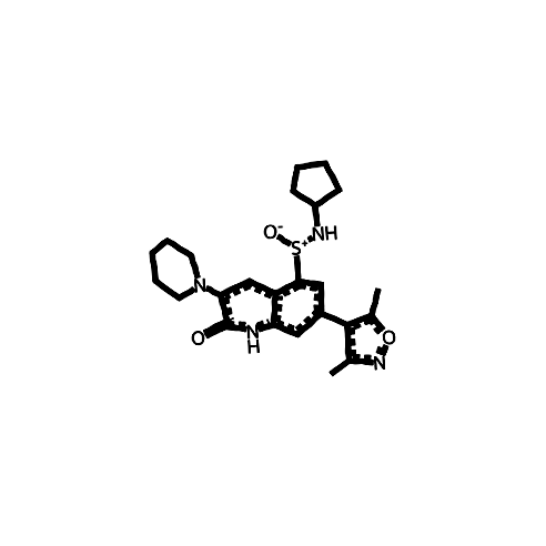 Cc1noc(C)c1-c1cc([S+]([O-])NC2CCCC2)c2cc(N3CCCCC3)c(=O)[nH]c2c1